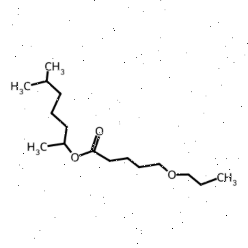 CCCOCCCCC(=O)OC(C)CCCC(C)C